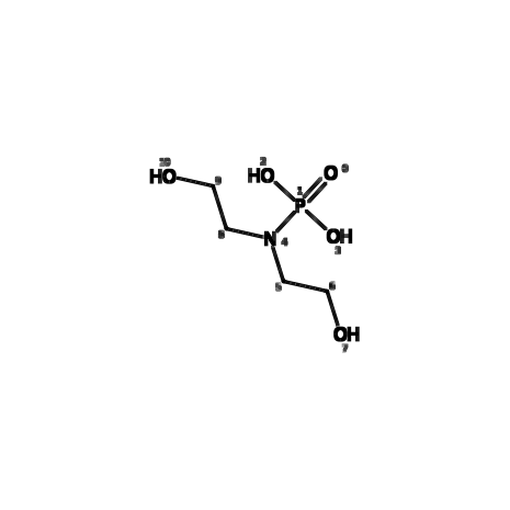 O=P(O)(O)N(CCO)CCO